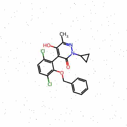 Cc1nn(C2CC2)c(=O)c(-c2c(Cl)ccc(Cl)c2OCc2ccccc2)c1O